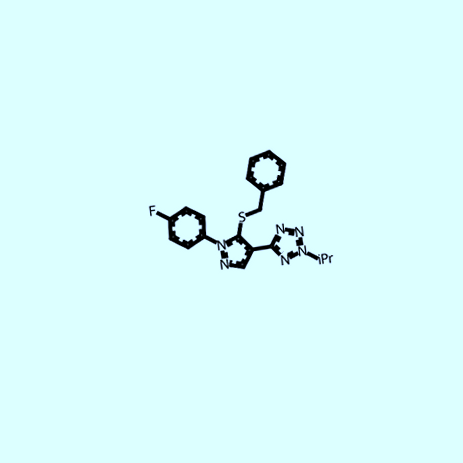 CC(C)n1nnc(-c2cnn(-c3ccc(F)cc3)c2SCc2ccccc2)n1